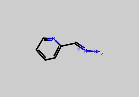 N/N=C/c1ccccn1